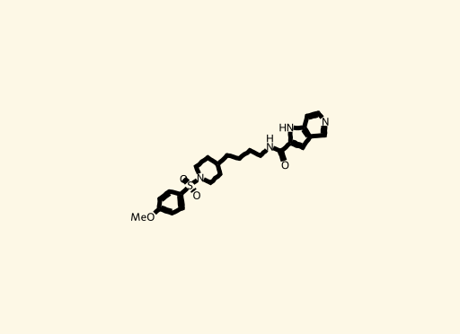 COc1ccc(S(=O)(=O)N2CCC(CCCCNC(=O)c3cc4cnccc4[nH]3)CC2)cc1